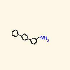 NCc1cccc(-c2ccc(-c3ccccc3)cc2)c1